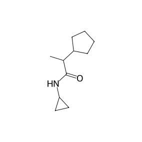 CC(C(=O)NC1CC1)C1CCCC1